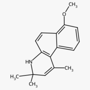 COc1cccc2c3c(ccc12)NC(C)(C)C=C3C